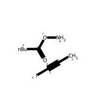 CC#CI.CCCCC(=O)ON